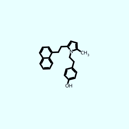 Cc1ccc(CCc2cccc3ccccc23)n1CCc1ccc(O)cc1